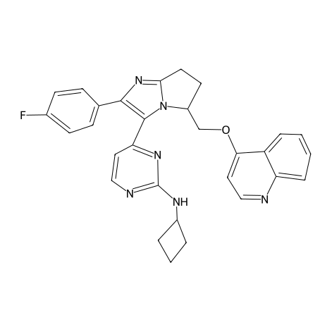 Fc1ccc(-c2nc3n(c2-c2ccnc(NC4CCC4)n2)C(COc2ccnc4ccccc24)CC3)cc1